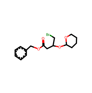 O=C(CC(CBr)OC1CCCCO1)OCc1ccccc1